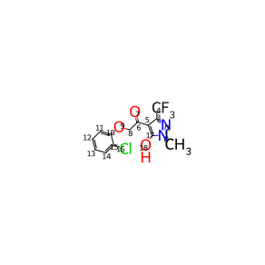 Cn1nc(C(F)(F)F)c(C(=O)COc2ccccc2Cl)c1O